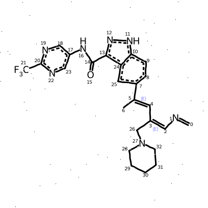 C=N/C=C(\C=C(/C)c1ccc2[nH]nc(C(=O)Nc3cnc(C(F)(F)F)nc3)c2c1)CN1CCCCC1